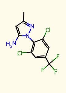 Cc1cc(N)n(-c2c(Cl)cc(C(F)(F)F)cc2Cl)n1